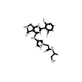 CC(CO)NC(=O)Cn1cc(Nc2nc(-c3c(F)cccc3F)nc3c2C(=O)NC3)cn1